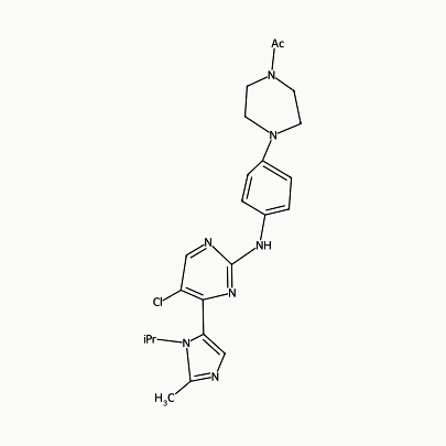 CC(=O)N1CCN(c2ccc(Nc3ncc(Cl)c(-c4cnc(C)n4C(C)C)n3)cc2)CC1